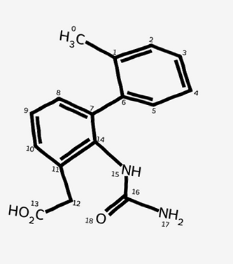 Cc1ccccc1-c1cccc(CC(=O)O)c1NC(N)=O